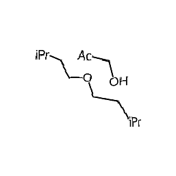 CC(=O)CO.CC(C)CCOCCC(C)C